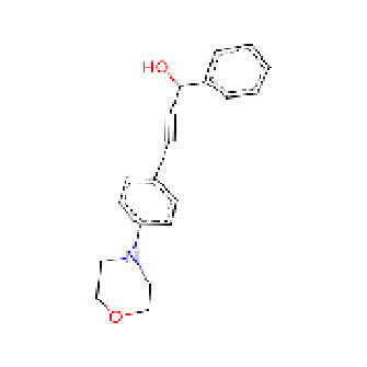 OC(C#Cc1ccc(N2CCOCC2)cc1)c1ccccc1